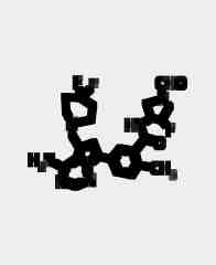 Cc1ccc(-c2cc(CN3CCC(F)(F)CC3)c3c(N)ncnn23)cc1C(=O)NC1CN(C=O)CC1F